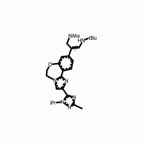 CNC/C(=C\NC(C)(C)C)c1ccc2c(c1)OCCn1cc(-c3nc(C)nn3C(C)C)nc1-2